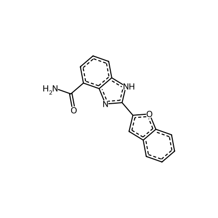 NC(=O)c1cccc2[nH]c(-c3cc4ccccc4o3)nc12